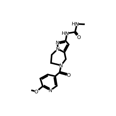 CNC(=O)Nc1cc2n(n1)CCN(C(=O)c1ccc(OC)nc1)C2